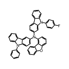 Fc1ccc(-n2c3ccccc3c3ccc(N(c4ccc5c(c4)c4ccccc4n5-c4ccccc4)c4cccc5oc6ccccc6c45)cc32)cc1